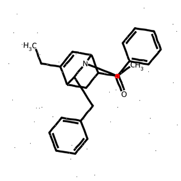 CCC1=CC2C(C(C)=O)CC1C(Cc1ccccc1)N2Cc1ccccc1